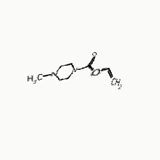 C=COC(=O)N1CCN(C)CC1